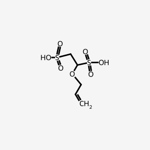 C=CCOC(CS(=O)(=O)O)S(=O)(=O)O